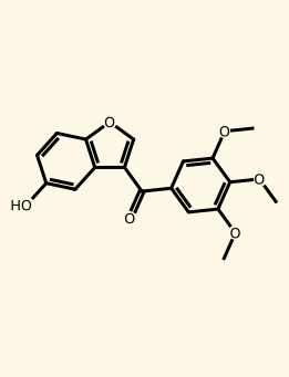 COc1cc(C(=O)c2coc3ccc(O)cc23)cc(OC)c1OC